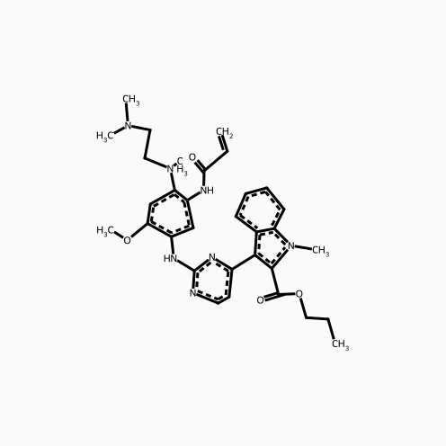 C=CC(=O)Nc1cc(Nc2nccc(-c3c(C(=O)OCCC)n(C)c4ccccc34)n2)c(OC)cc1N(C)CCN(C)C